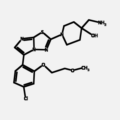 COCCOc1cc(Cl)ccc1-c1cnc2sc(N3CCC(O)(CN)CC3)nn12